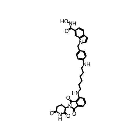 O=C1CCC(N2C(=O)c3cccc(NCCCCCCNc4ccc(Cn5ccc6ccc(C(=O)NO)cc65)cc4)c3C2=O)C(=O)N1